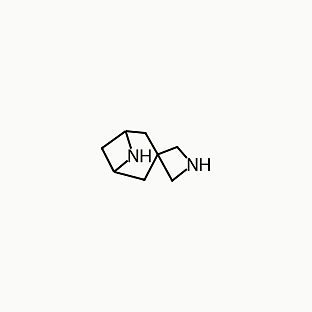 C1C2CC3(CNC3)CC1N2